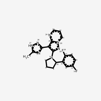 Cc1nc(-c2c(N3CCCC3c3cc(F)ccc3F)nn3cccnc23)n[nH]1